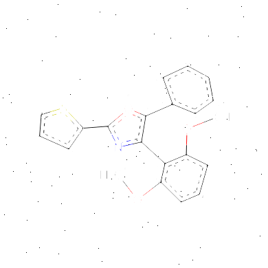 COc1cccc(OC)c1-c1nc(-c2cccs2)oc1-c1ccccc1